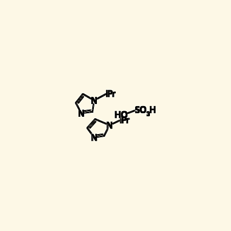 CC(C)n1ccnc1.CC(C)n1ccnc1.O=S(=O)(O)O